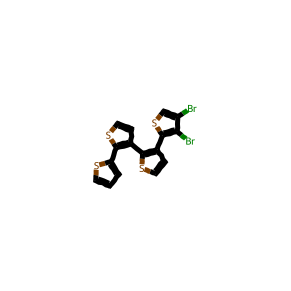 Brc1csc(-c2ccsc2-c2ccsc2-c2cccs2)c1Br